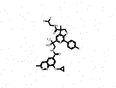 Cc1cc2cc(C(=O)NCC(O)(c3cc4c(c(-c5ccc(F)cc5)n3)OCC4(C)C(=O)NCC(F)F)C(F)(F)F)cc(OC3CC3)c2nn1